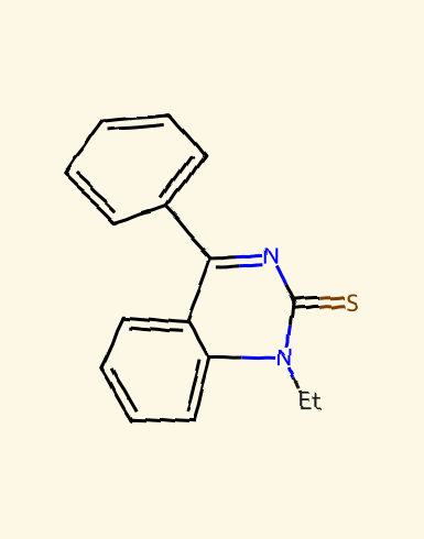 CCn1c(=S)nc(-c2ccccc2)c2ccccc21